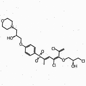 C=C(Cl)/C(OC[C@H](O)CCl)=C(Cl)\C=C(/C)S(=O)(=O)c1ccc(OC[C@@H](O)CN2CCOCC2)cc1